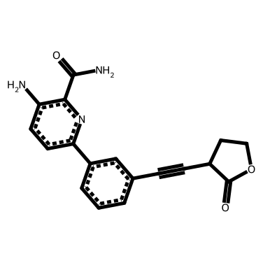 NC(=O)c1nc(-c2cccc(C#CC3CCOC3=O)c2)ccc1N